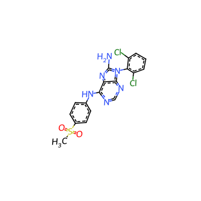 CS(=O)(=O)c1ccc(Nc2ncnc3c2nc(N)n3-c2c(Cl)cccc2Cl)cc1